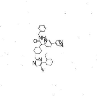 C#Cc1cnc(C[C@H]2CC[C@H](C(C(=O)NCc3ccccc3)c3ccc(-c4cnn(C)c4)cn3)CC2)nc1C1CCCCC1CC